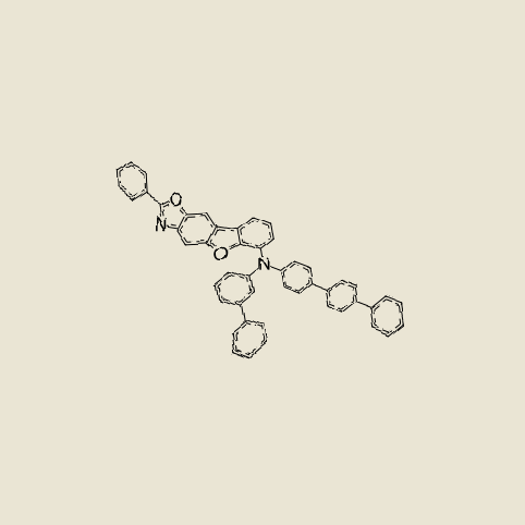 c1ccc(-c2ccc(-c3ccc(N(c4cccc(-c5ccccc5)c4)c4cccc5c4oc4cc6nc(-c7ccccc7)oc6cc45)cc3)cc2)cc1